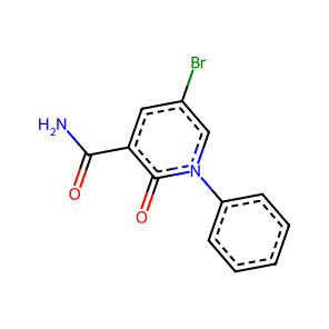 NC(=O)c1cc(Br)cn(-c2ccccc2)c1=O